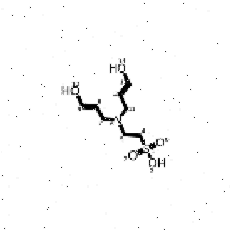 O=S(=O)(O)CCN(CC=CO)CC=CO